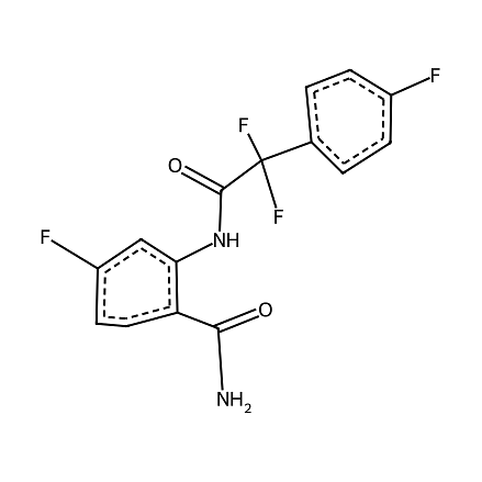 NC(=O)c1ccc(F)cc1NC(=O)C(F)(F)c1ccc(F)cc1